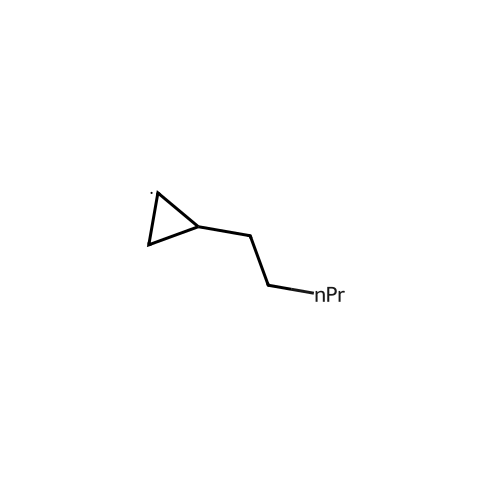 CCCCCC1[CH]C1